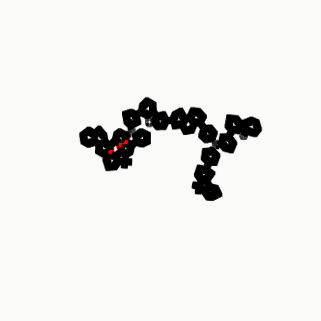 CC1(C)c2ccccc2-c2cc(-c3ccc(N(c4ccc(-c5cccc6c5ccc5cc(-c7ccc8oc9c(-c%10cccc(N(c%11ccc(-c%12cccc%13c%12ccc%12ccccc%12%13)cc%11)c%11ccccc%11-c%11ccc%12c(c%11)C(C)(C)c%11ccccc%11-%12)c%10)cccc9c8c7)ccc56)cc4)c4cccc(-c5cccc6c5oc5ccccc56)c4)cc3)ccc21